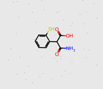 NC(=O)C(C(=O)O)c1ccccc1S